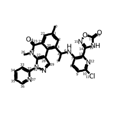 Cc1cc(C(C)Nc2ccc(Cl)nc2-c2noc(=O)[nH]2)c2c(c1)c(=O)n(C)c1c2cnn1-c1ccccn1